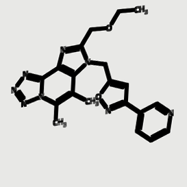 CCOCc1nc2c(c(C)c(C)n3nnnc23)n1Cc1cc(-c2cccnc2)no1